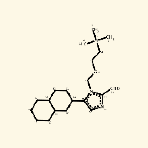 C[Si](C)(C)CCOCn1c(C2CCC3CCCCC3C2)cnc1C=O